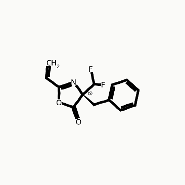 C=CC1=N[C@](Cc2ccccc2)(C(F)F)C(=O)O1